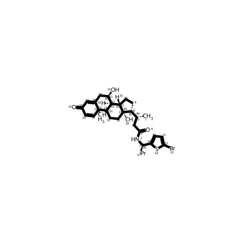 CC(C)[C@@H](NC(=O)C[C@@H](C)[C@H]1CC[C@H]2[C@@H]3[C@H](O)CC4=CC(=O)C=C[C@]4(C)[C@H]3CC[C@]12C)c1ccc(Br)s1